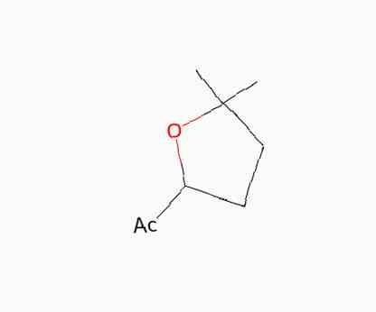 CC(=O)C1CCC(C)(C)O1